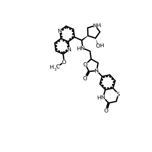 COc1ccc2nccc(C(NCC3CN(c4ccc5c(c4)NC(=O)CS5)C(=O)O3)[C@H]3CNC[C@@H]3O)c2n1